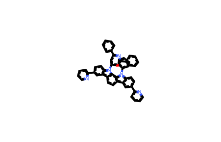 c1ccc(-c2cc(-n3c4ccc(-c5ccccn5)cc4c4ccc5c6cc(-c7ccccn7)ccc6n(-c6ccccc6)c5c43)cc(-c3ccccc3)n2)cc1